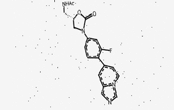 CC(=O)NC[C@H]1CN(c2ccc(-c3ccn4cncc4c3)c(F)c2)C(=O)O1